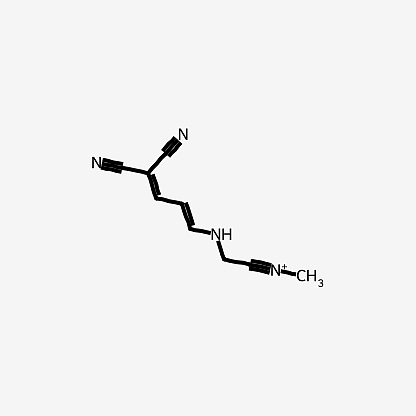 C[N+]#CCNC=CC=C(C#N)C#N